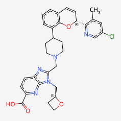 Cc1cc(Cl)cnc1[C@H]1C=Cc2cccc(C3CCN(Cc4nc5ccc(C(=O)O)nc5n4C[C@@H]4CCO4)CC3)c2O1